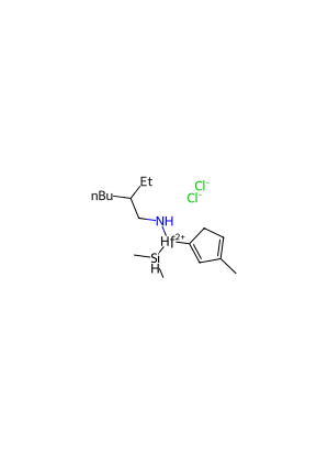 CCCCC(CC)C[NH][Hf+2]([C]1=CC(C)=CC1)[SiH](C)C.[Cl-].[Cl-]